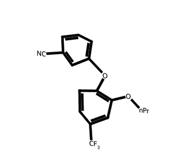 CCCOc1cc(C(F)(F)F)ccc1Oc1cccc(C#N)c1